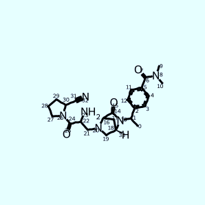 CC(c1ccc(C(=O)N(C)C)cc1)N1C(=O)C2C[C@H]1CN2CC(N)C(=O)N1CCCC1C#N